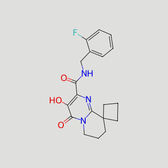 O=C(NCc1ccccc1F)c1nc2n(c(=O)c1O)CCCC21CCC1